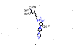 CCC/C(=C\C(=C/C(C)CCc1cnc(Nc2ccc(N3CCC(N4CCN(C)CC4)CC3)c(OC)c2)nc1)OC)OC